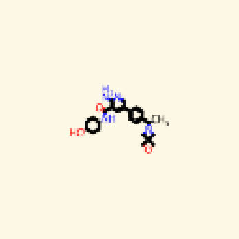 C[C@H](c1ccc(-c2cnc(N)c(C(=O)N[C@H]3CC[C@H](O)CC3)c2)cc1)N1CC2(COC2)C1